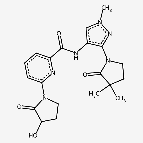 Cn1cc(NC(=O)c2cccc(N3CCC(O)C3=O)n2)c(N2CCC(C)(C)C2=O)n1